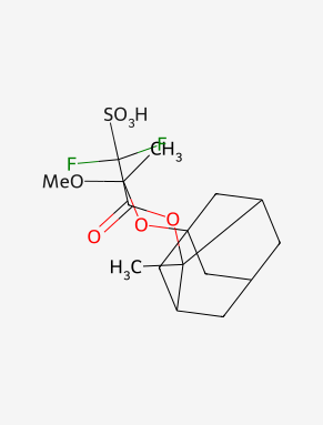 COC(C)OC12CC3CC(C1)C(C)(OC(=O)C(F)(F)S(=O)(=O)O)C(C3)C2